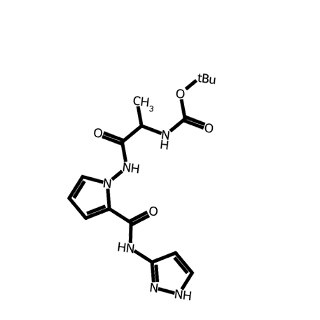 CC(NC(=O)OC(C)(C)C)C(=O)Nn1cccc1C(=O)Nc1cc[nH]n1